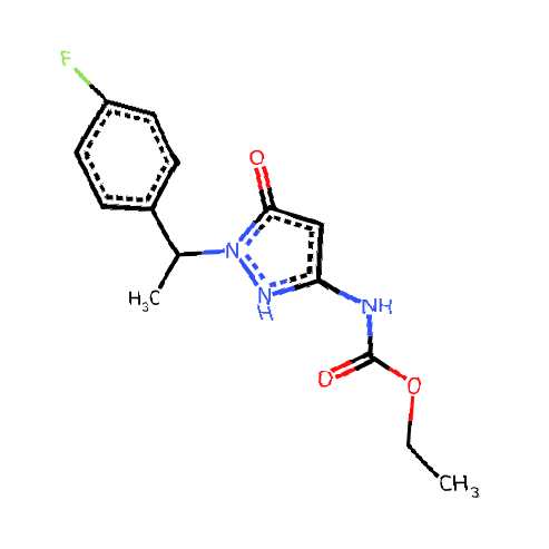 CCOC(=O)Nc1cc(=O)n(C(C)c2ccc(F)cc2)[nH]1